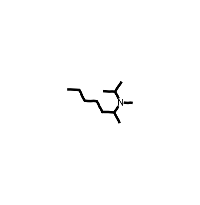 CCCCCC(C)N(C)C(C)C